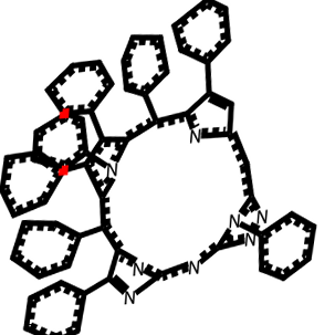 C1=C(c2ccccc2)c2nc1cc1nnc(nc3nc(c(-c4ccccc4)c4c(-c5ccccc5)c(-c5ccccc5)c(c2-c2ccccc2)n4-c2ccccc2)C(c2ccccc2)=N3)n1-c1ccccc1